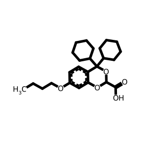 CCCCOc1ccc2c(c1)OC(C(=O)O)OC2(C1CCCCC1)C1CCCCC1